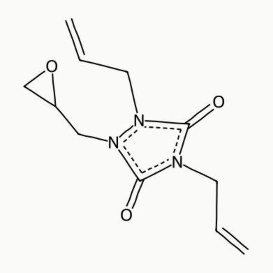 C=CCn1c(=O)n(CC=C)n(CC2CO2)c1=O